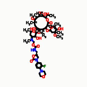 CC[C@H]1OC(=O)[C@H](C)[C@@H](O[C@@H]2C[C@@](C)(OC)[C@@H](O)[C@H](C)O2)[C@H](C)[C@@H](O[C@@H]2O[C@H](C)C[C@H](N(C)COC(=O)NC[C@H]3CN(c4ccc(N5CCOCC5)c(F)c4)C(=O)O3)[C@H]2O)[C@](C)(O)C[C@@H](C)C(=O)[C@H](C)[C@@H](O)[C@]1(C)O